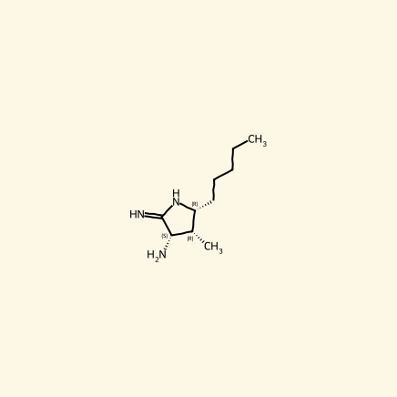 CCCCC[C@H]1NC(=N)[C@@H](N)[C@H]1C